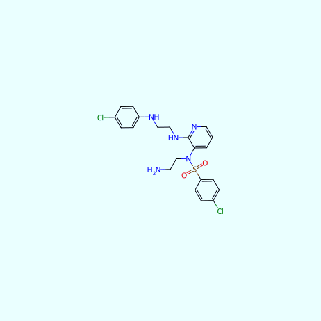 NCCN(c1cccnc1NCCNc1ccc(Cl)cc1)S(=O)(=O)c1ccc(Cl)cc1